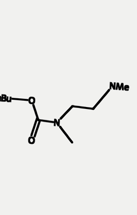 CCCCOC(=O)N(C)CCNC